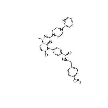 Cc1nc(N2CCN(c3ccccn3)CC2)nc2c1ccc(=O)n2-c1ccc(C(=O)NCc2ccc(C(F)(F)F)cc2)cc1